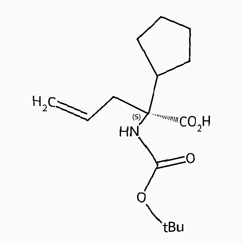 C=CC[C@@](NC(=O)OC(C)(C)C)(C(=O)O)C1CCCC1